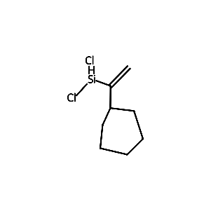 C=C(C1CCCCC1)[SiH](Cl)Cl